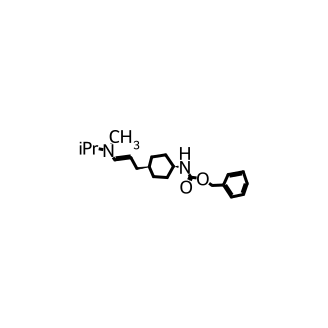 CC(C)N(C)C=CC[C@H]1CC[C@H](NC(=O)OCc2ccccc2)CC1